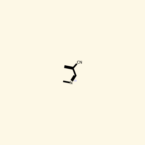 C=C(C#N)/C=N\C